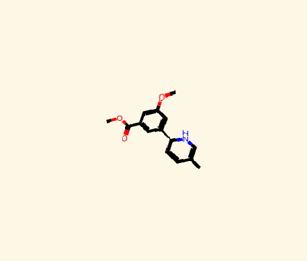 COC(=O)c1cc(OC)cc([C@@H]2C=CC(C)=CN2)c1